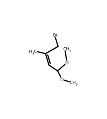 COC(C=C(C)CBr)OC